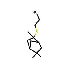 CC1(C)CC2CC1CC2(C)SCCC#N